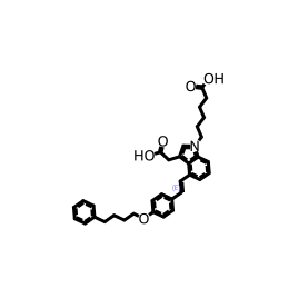 O=C(O)CCCCCn1cc(CC(=O)O)c2c(/C=C/c3ccc(OCCCCc4ccccc4)cc3)cccc21